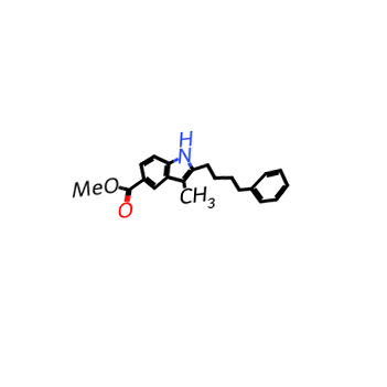 COC(=O)c1ccc2[nH]c(CCCCc3ccccc3)c(C)c2c1